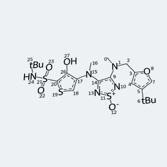 CN(Cc1cc(C(C)(C)C)co1)c1n[s+]([O-])nc1N(C)c1csc(S(=O)(=O)NC(C)(C)C)c1O